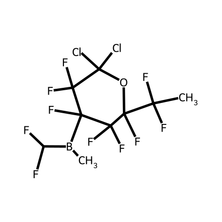 CB(C(F)F)C1(F)C(F)(F)C(Cl)(Cl)OC(F)(C(C)(F)F)C1(F)F